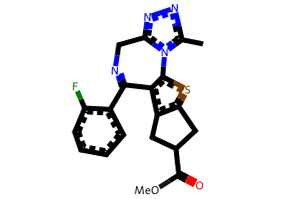 COC(=O)C1Cc2sc3c(c2C1)C(c1ccccc1F)=NCc1nnc(C)n1-3